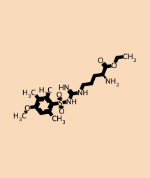 CCOC(=O)[C@@H](N)CCCNC(=N)NS(=O)(=O)c1c(C)cc(OC)c(C)c1C